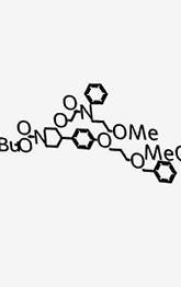 COCCCN(C(=O)COC1CN(C(=O)OC(C)(C)C)CCC1c1ccc(OCCCOCc2ccccc2OC)cc1)c1ccccc1